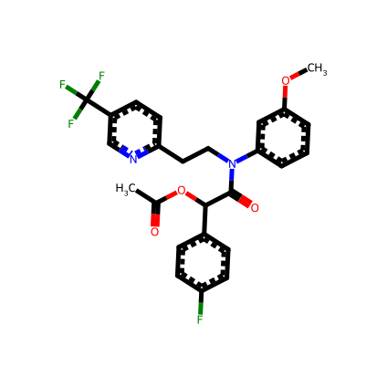 COc1cccc(N(CCc2ccc(C(F)(F)F)cn2)C(=O)C(OC(C)=O)c2ccc(F)cc2)c1